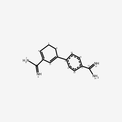 N=C(N)C1=CC[CH]C(c2ccc(C(=N)N)cc2)=C1